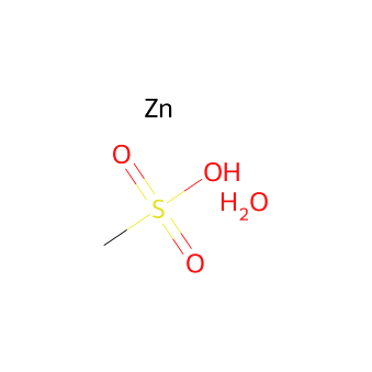 CS(=O)(=O)O.O.[Zn]